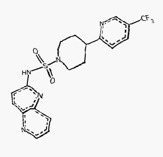 O=S(=O)(Nc1ccc2ncccc2n1)N1CCC(c2ccc(C(F)(F)F)cn2)CC1